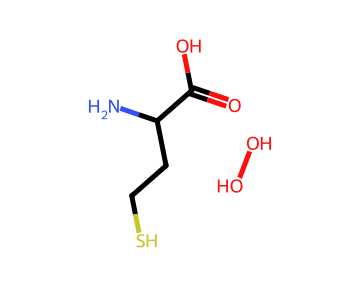 NC(CCS)C(=O)O.OO